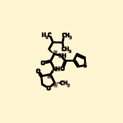 CC(C)C(C)C[C@H](NC(=O)c1ccsc1)C(=O)N[C@@H]1C(=O)CO[C@H]1C